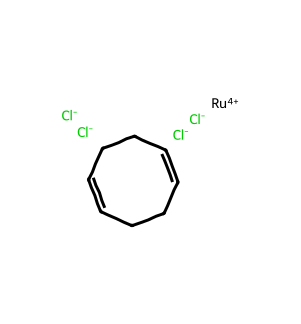 C1=C\CC/C=C\CC/1.[Cl-].[Cl-].[Cl-].[Cl-].[Ru+4]